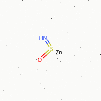 N=S=O.[Zn]